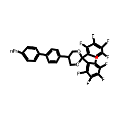 CCCc1ccc(-c2ccc(C3COC(c4cc(F)c(F)c(F)c4F)(c4c(F)c(F)c(F)c(F)c4F)OC3)cc2)cc1